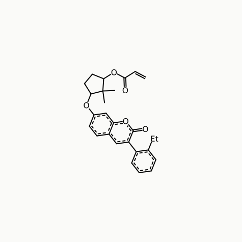 C=CC(=O)OC1CCC(Oc2ccc3cc(-c4ccccc4CC)c(=O)oc3c2)C1(C)C